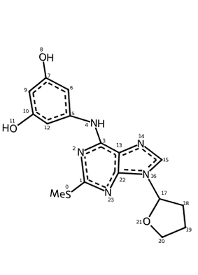 CSc1nc(Nc2cc(O)cc(O)c2)c2ncn(C3CCCO3)c2n1